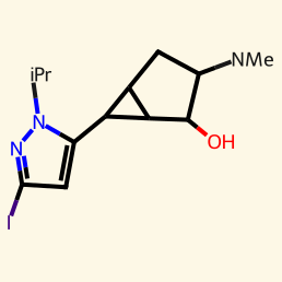 CNC1CC2C(c3cc(I)nn3C(C)C)C2C1O